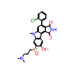 CN(C)CCC[S+]([O-])c1cc2c(cc1O)c1c3c(c(-c4ccccc4Cl)cc1n2C)C(=O)NC3=O